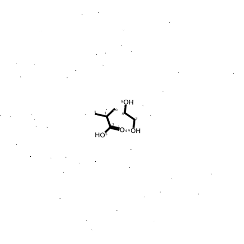 CC(C)C(=O)O.OCCO